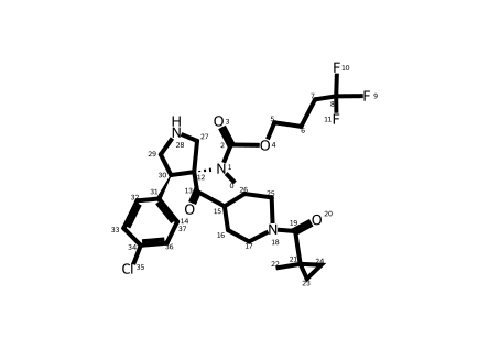 CN(C(=O)OCCCC(F)(F)F)[C@@]1(C(=O)C2CCN(C(=O)C3(C)CC3)CC2)CNC[C@@H]1c1ccc(Cl)cc1